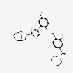 CCc1cc(C(=O)N2CCOCC2)ccc1COc1ccc(C)cc1-c1csc(N2CC3CCC(C2)C3C=O)n1